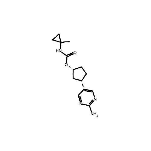 CC1(NC(=O)O[C@@H]2CC[C@H](c3cnc(N)nc3)C2)CC1